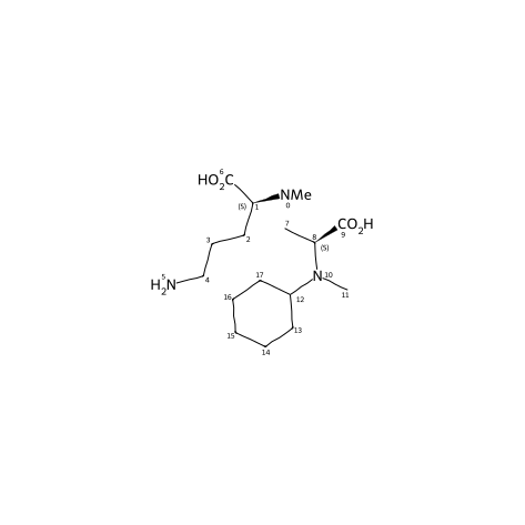 CN[C@@H](CCCN)C(=O)O.C[C@@H](C(=O)O)N(C)C1CCCCC1